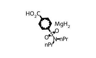 CCCN(CCC)S(=O)(=O)c1ccc(C(=O)O)cc1.[MgH2]